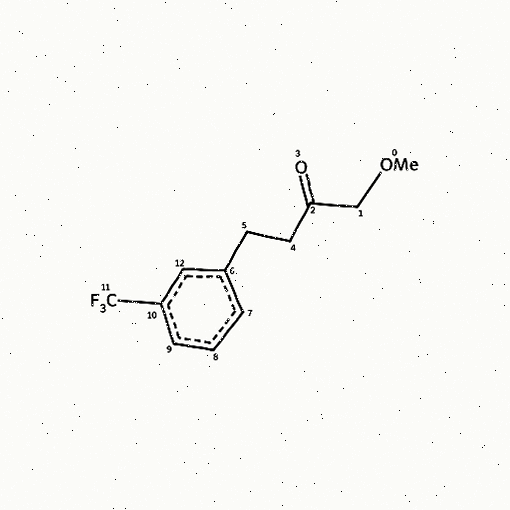 COCC(=O)CCc1cccc(C(F)(F)F)c1